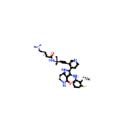 COc1c(F)cccc1Nc1c(-c2ccncc2C#CC(C)(C)NC(=O)/C=C/CN(C)C)[nH]c2c1C(=O)NCC2